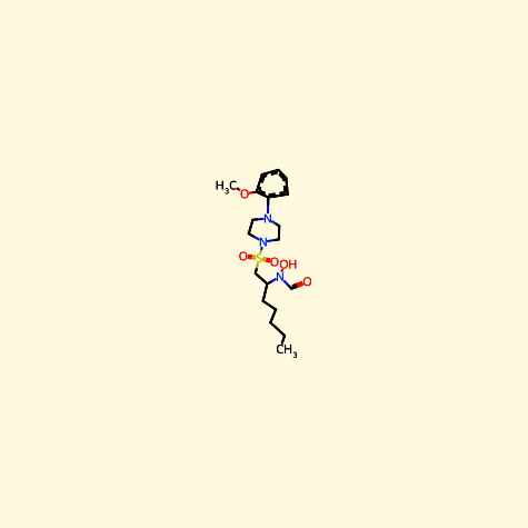 CCCCCC(CS(=O)(=O)N1CCN(c2ccccc2OC)CC1)N(O)C=O